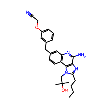 CCCCc1nc2c(N)nc3cc(Cc4cccc(OCC#N)c4)ccc3c2n1CC(C)(C)O